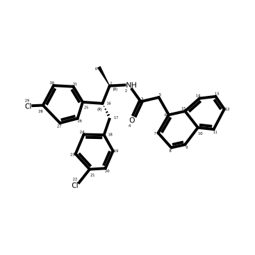 C[C@@H](NC(=O)Cc1cccc2ccccc12)[C@H](Cc1ccc(Cl)cc1)c1ccc(Cl)cc1